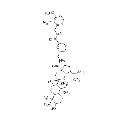 C=C(C)[C@@H]1CC[C@]2(C(=O)NCc3cccc(C(=O)NCc4cccc(C(=O)O)c4C)c3)CC[C@]3(C)C(CCC4[C@@]5(C)CC[C@H](O)C(C)(C)C5CC[C@]43C)C12